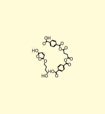 O=C(CCC(=O)OC(=O)c1ccc(C(=O)O)cc1)OC(=O)c1ccc(C(=O)O)cc1.O=C(O)/C=C\C(=O)OCCCCO